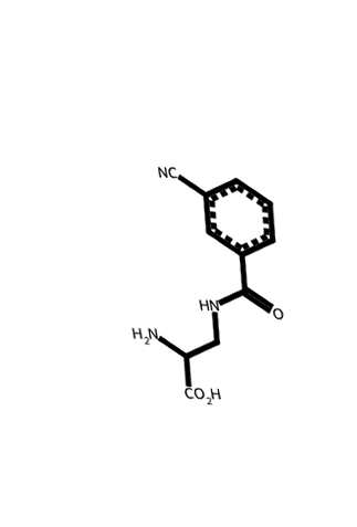 N#Cc1cccc(C(=O)NCC(N)C(=O)O)c1